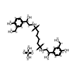 CC(C)(CCCCC(C)(C)NCC(O)c1ccc(O)c(CO)c1)NCC(O)c1ccc(O)c(CO)c1.O=S(=O)(O)O